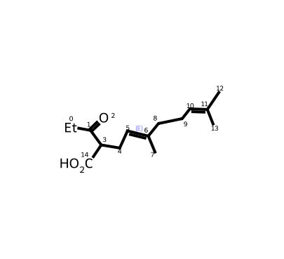 CCC(=O)C(C/C=C(\C)CCC=C(C)C)C(=O)O